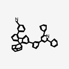 N#Cc1cccc(-c2cccc3c2-c2ccc(-c4cccc(-c5cc(-c6ccccc6)nc(-c6ccccc6)c5)c4)cc2C32C3CC4CC(C3)CC2C4)c1